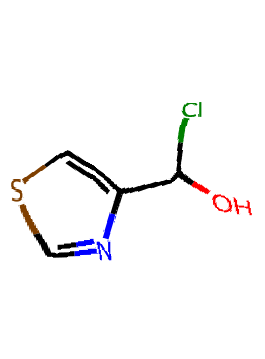 OC(Cl)c1cscn1